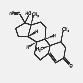 CCCCCC1(O)CC[C@H]2[C@@H]3CCC4=CC(=O)CC(C)[C@]4(C)[C@@H]3CC[C@@]21C